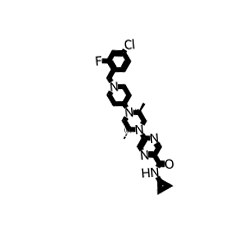 C[C@@H]1CN(C2CCN(Cc3ccc(Cl)cc3F)CC2)[C@@H](C)CN1c1cnc(C(=O)NC2CC2)cn1